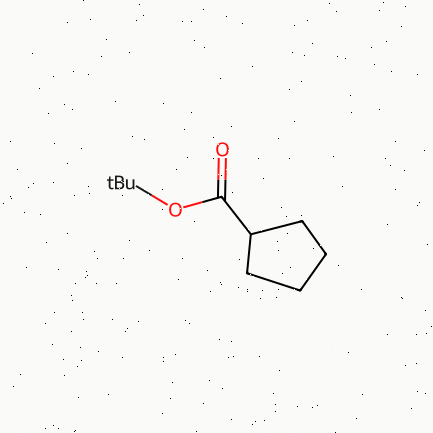 CC(C)(C)OC(=O)C1CCCC1